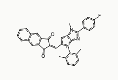 Cc1cccc(C)c1-n1c(C=C2C(=O)c3cc4ccccc4cc3C2=O)cc2c1nc(-c1ccc(F)cc1)n2C